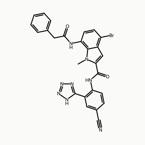 Cn1c(C(=O)Nc2ccc(C#N)cc2-c2nnn[nH]2)cc2c(Br)ccc(NC(=O)Cc3ccccc3)c21